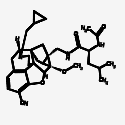 CO[C@]12C3C[C@@]4(C[C@]31CNC(=O)[C@H](CC(C)C)NC(C)=O)[C@H]1Cc3ccc(O)c5c3[C@@]4(CCN1CC1CC1)[C@H]2O5